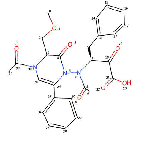 COCC1C(=O)N(N(C(C)=O)[C@@H](Cc2ccccc2)C(=O)C(=O)O)C(c2ccccc2)=CN1C(C)=O